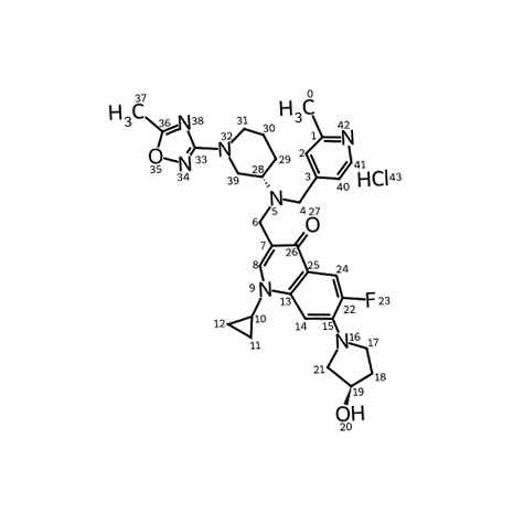 Cc1cc(CN(Cc2cn(C3CC3)c3cc(N4CC[C@@H](O)C4)c(F)cc3c2=O)[C@H]2CCCN(c3noc(C)n3)C2)ccn1.Cl